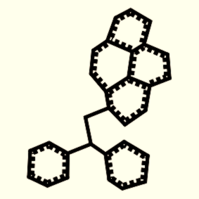 c1ccc(C(Cc2ccc3ccc4cccc5ccc2c3c45)c2ccccc2)cc1